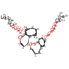 C1=COc2ccccc2C1.C1=COc2ccccc2C1.[Ca+2].[Ca+2].[La+3].[La+3].[O-2].[O-2].[O-2].[O-2].[O-2].[O-2].[O-2].[O-2].[O-2].[Ti+4].[Ti+4]